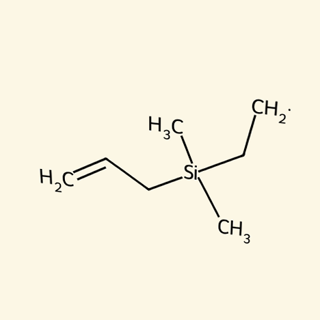 [CH2]C[Si](C)(C)CC=C